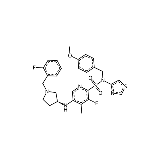 COc1ccc(CN(c2cscn2)S(=O)(=O)c2ncc(N[C@H]3CCN(Cc4ccccc4F)C3)c(C)c2F)cc1